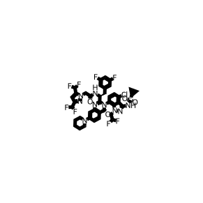 O=C(Cn1nc(C(F)F)cc1C(F)F)N[C@@H](Cc1cc(F)cc(F)c1)c1nc2cc(N3CCCCC3)ccc2c(=O)n1-c1ccc(Cl)c2c(NS(=O)(=O)C3CC3)nn(CC(F)F)c12